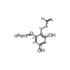 C=C(C)CCc1c(O)cc(O)cc1OCCCCC